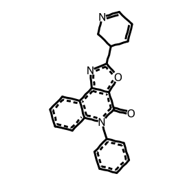 O=c1c2oc(C3C=CC=NC3)nc2c2ccccc2n1-c1ccccc1